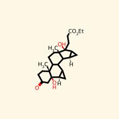 CCOC(=O)CC[C@]1(O)C2C[C@H]2C2C3C4C[C@H]4[C@]4(O)CC(=O)CC[C@]4(C)C3CC[C@@]21C